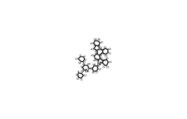 c1ccc(-c2cc(-c3ccccc3)nc(-c3cccc(-n4c5ccccc5c5c6c7ccccc7n7c8ccccc8cc7c6ccc54)c3)c2)cc1